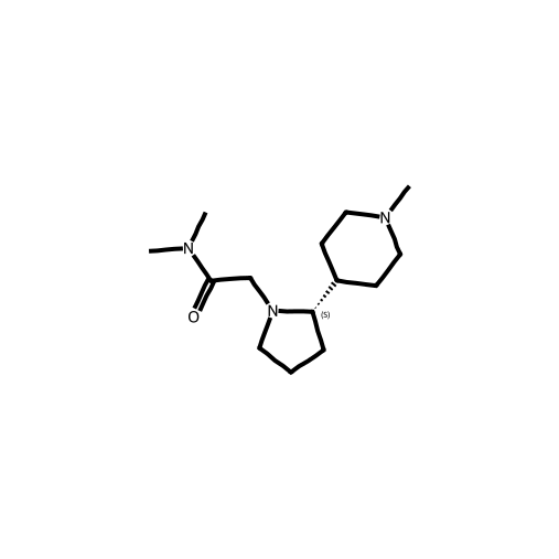 CN1CCC([C@@H]2CCCN2CC(=O)N(C)C)CC1